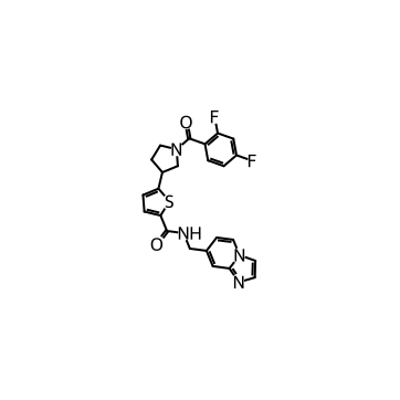 O=C(NCc1ccn2ccnc2c1)c1ccc(C2CCN(C(=O)c3ccc(F)cc3F)C2)s1